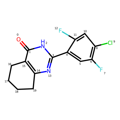 O=c1[nH]c(-c2cc(F)c(Cl)cc2F)nc2c1CCCC2